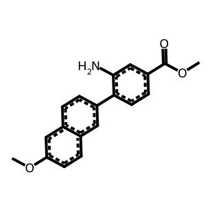 COC(=O)c1ccc(-c2ccc3cc(OC)ccc3c2)c(N)c1